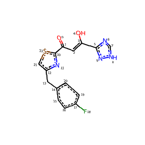 O=C(C=C(O)c1nc[nH]n1)c1nc(Cc2ccc(F)cc2)cs1